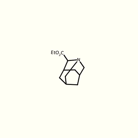 CCOC(=O)C1C2CC3CC(C2)CN1C3